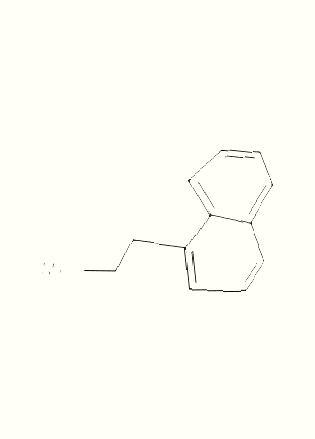 COC[CH]c1cccc2ccccc12